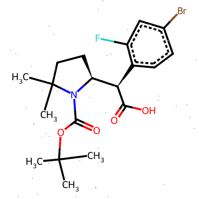 CC(C)(C)OC(=O)N1[C@H]([C@H](C(=O)O)c2ccc(Br)cc2F)CCC1(C)C